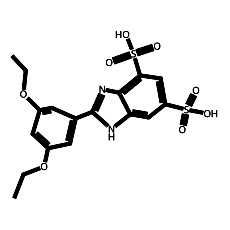 CCOc1cc(OCC)cc(-c2nc3c(S(=O)(=O)O)cc(S(=O)(=O)O)cc3[nH]2)c1